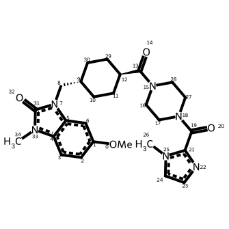 COc1ccc2c(c1)n(C[C@H]1CC[C@H](C(=O)N3CCN(C(=O)c4nccn4C)CC3)CC1)c(=O)n2C